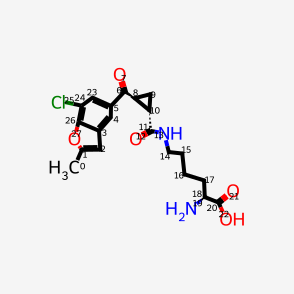 Cc1cc2cc(C(=O)[C@H]3C[C@@H]3C(=O)NCCCC[C@H](N)C(=O)O)cc(Cl)c2o1